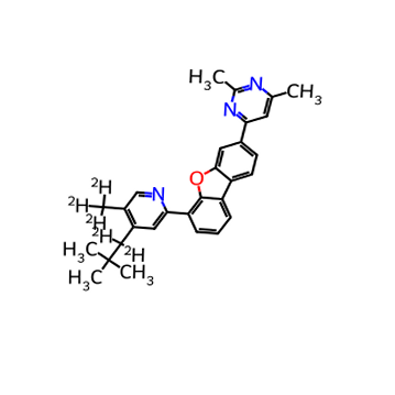 [2H]C([2H])([2H])c1cnc(-c2cccc3c2oc2cc(-c4cc(C)nc(C)n4)ccc23)cc1C([2H])([2H])C(C)(C)C